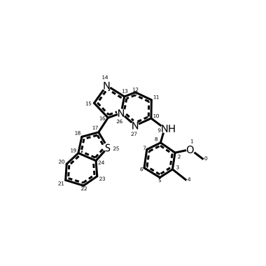 COc1c(C)cccc1Nc1ccc2ncc(-c3cc4ccccc4s3)n2n1